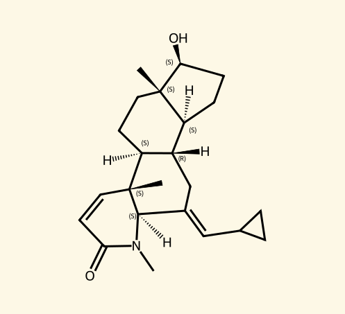 CN1C(=O)C=C[C@]2(C)[C@H]3CC[C@]4(C)[C@@H](O)CC[C@H]4[C@@H]3CC(=CC3CC3)[C@@H]12